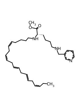 CC/C=C\CC=CCC=CC/C=C\C/C=C\CCCCN[C@@H](CCCCNCc1cccnc1)C(=O)OC